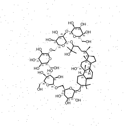 C[C@H](CCC(O[C@@H]1O[C@H](CO[C@@H]2O[C@H](CO)[C@@H](O)[C@H](O)[C@H]2O)[C@@H](O)[C@H](O)[C@H]1O[C@H]1O[C@@H](CO)[C@H](O)[C@@H](O)[C@@H]1O)C(C)(C)O)[C@H]1CC[C@@]2(C)[C@@H]3CC=C4[C@@H](CC[C@H](O[C@@H]5O[C@H](CO[C@@H]6O[C@H](CO)[C@@H](O)[C@H](O)[C@H]6O)[C@@H](O)[C@H](O)[C@H]5O)C4(C)C)[C@]3(C)[C@H](O)C[C@]12C